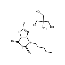 CCCCCn1c(=O)[nH]c(=O)c2[nH]c(Cl)nc21.NC(CO)(CO)CO